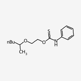 CCCCC(C)OCCOC(=S)Nc1ccccc1